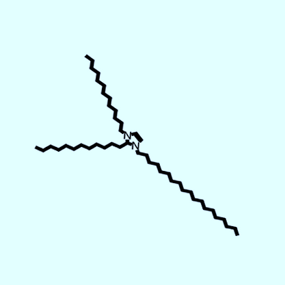 CCCCCCCCCCCCCCCCCCCN1C=CN(CCCCCCCCCCCCC)C1CCCCCCCCCCCC